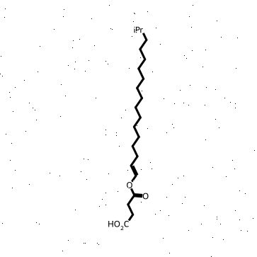 CC(C)CCCCCCCCCCCCCC=COC(=O)CCC(=O)O